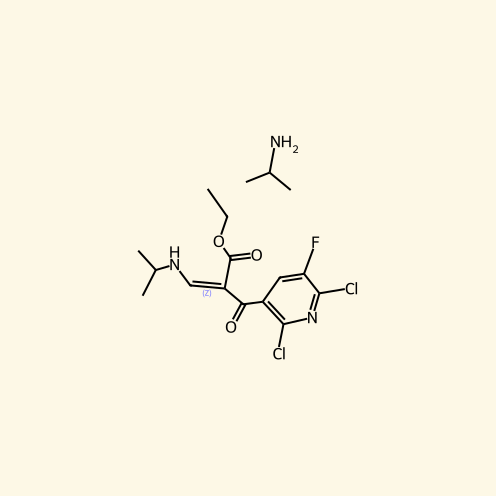 CC(C)N.CCOC(=O)/C(=C\NC(C)C)C(=O)c1cc(F)c(Cl)nc1Cl